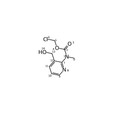 CN(C(=O)OCCl)c1ncccc1CO